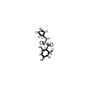 Cc1cc(C)c(C(=O)[P](=O)Cc2ccsc2)c(C)c1